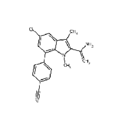 C=C(N)c1c(C)c2cc(Cl)cc(-c3ccc(C#N)cc3)c2n1C